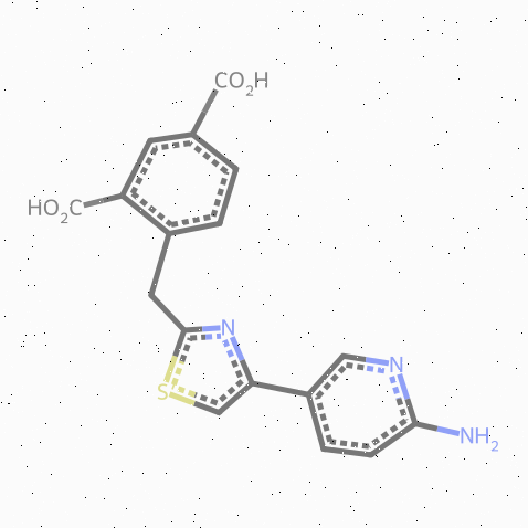 Nc1ccc(-c2csc(Cc3ccc(C(=O)O)cc3C(=O)O)n2)cn1